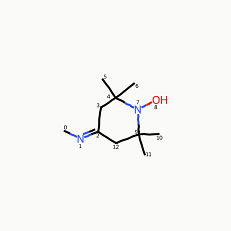 CN=C1CC(C)(C)N(O)C(C)(C)C1